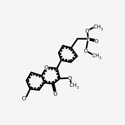 COc1c(-c2ccc(CP(=O)(OC)OC)cc2)oc2ccc(Cl)cc2c1=O